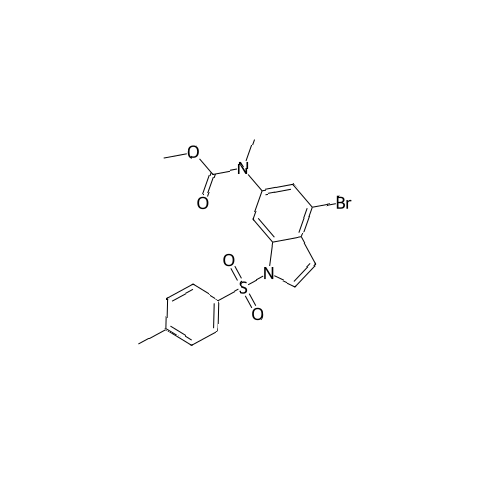 COC(=O)N(C)c1cc(Br)c2ccn(S(=O)(=O)c3ccc(C)cc3)c2c1